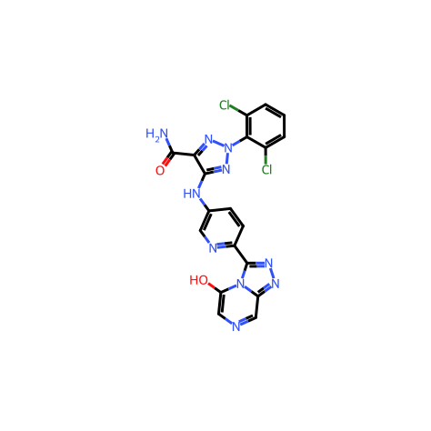 NC(=O)c1nn(-c2c(Cl)cccc2Cl)nc1Nc1ccc(-c2nnc3cncc(O)n23)nc1